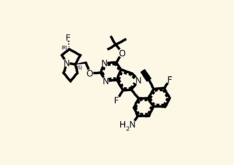 C#Cc1c(F)ccc2cc(N)cc(-c3ncc4c(OC(C)(C)C)nc(OC[C@@]56CCCN5C[C@H](F)C6)nc4c3F)c12